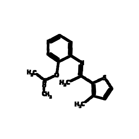 CC(=Nc1ccccc1O[SiH](C)C)c1sccc1C